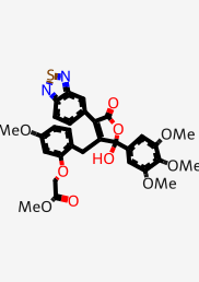 COC(=O)COc1cc(OC)ccc1CC1=C(c2ccc3nsnc3c2)C(=O)OC1(O)c1cc(OC)c(OC)c(OC)c1